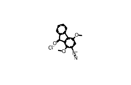 COc1cc([N+]#N)c(OC)c2c1-c1ccccc1C2=O.[Cl-]